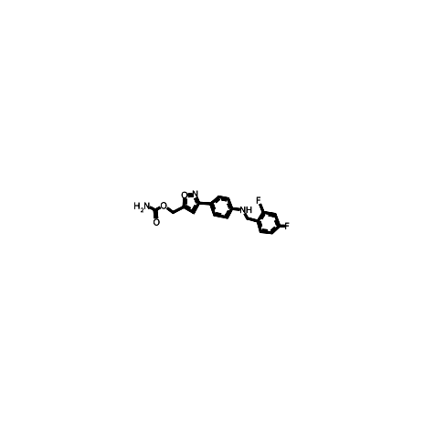 NC(=O)OCc1cc(-c2ccc(NCc3ccc(F)cc3F)cc2)no1